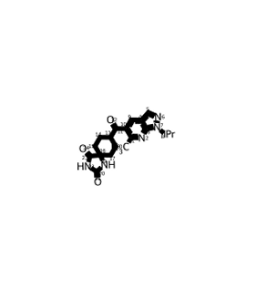 Cc1nc2c(cnn2C(C)C)cc1C(=O)C1CCC2(CC1)NC(=O)NC2=O